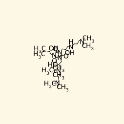 CC(C)C(O)Cn1c(=O)n(CC(O)CNCCCN(C)C)c(=O)n(CC(O)CN(CCCN(C)C)C(C)(C)C)c1=O